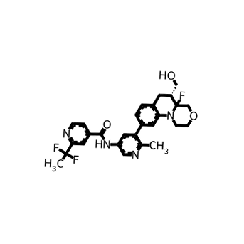 Cc1ncc(NC(=O)c2ccnc(C(C)(F)F)c2)cc1-c1ccc2c(c1)N1CCOCC1(F)[C@@H](CO)C2